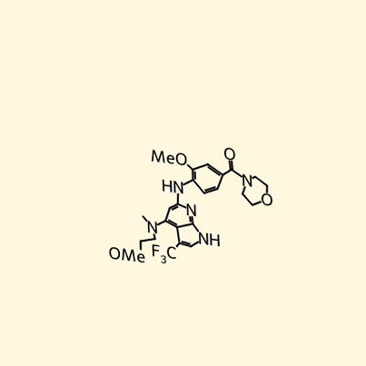 COCCN(C)c1cc(Nc2ccc(C(=O)N3CCOCC3)cc2OC)nc2[nH]cc(C(F)(F)F)c12